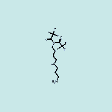 NCCCNCCCCN(C(=O)C(F)(F)F)C(=O)C(F)(F)F